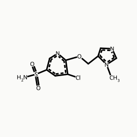 Cn1cncc1COc1ncc(S(N)(=O)=O)cc1Cl